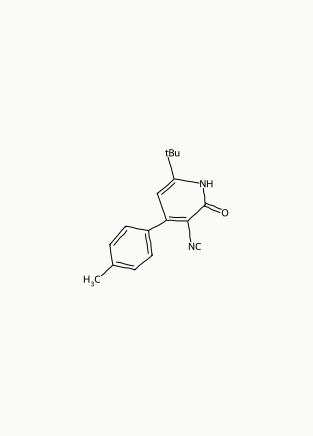 [C-]#[N+]c1c(-c2ccc(C)cc2)cc(C(C)(C)C)[nH]c1=O